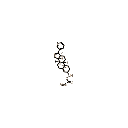 CNC(=O)ONC1C=C2CC[C@H]3[C@H](CC[C@]4(C)C(c5cccnc5)=CC[C@@H]34)[C@@]2(C)CC1